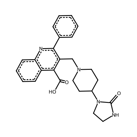 O=C(O)c1c(CN2CCC(N3CCNC3=O)CC2)c(-c2ccccc2)nc2ccccc12